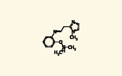 Cn1ccnc1CC=Nc1ccccc1O[SiH](C)C